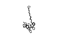 CCOc1cc([C@@H](CS(C)(=O)=O)N2C(=O)c3cccc(CCCCCCCCCCC=O)c3C2=O)ccc1OC